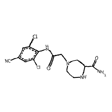 N#Cc1cc(Cl)c(NC(=O)CN2CCNC(C(N)=O)C2)c(Cl)c1